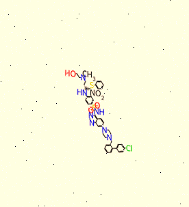 CN(CCO)CC[C@H](CSc1ccccc1)Nc1ccc(S(=O)(=O)Nc2ncnc3cc(N4CCN(Cc5ccccc5-c5ccc(Cl)cc5)CC4)ccc23)cc1[N+](=O)[O-]